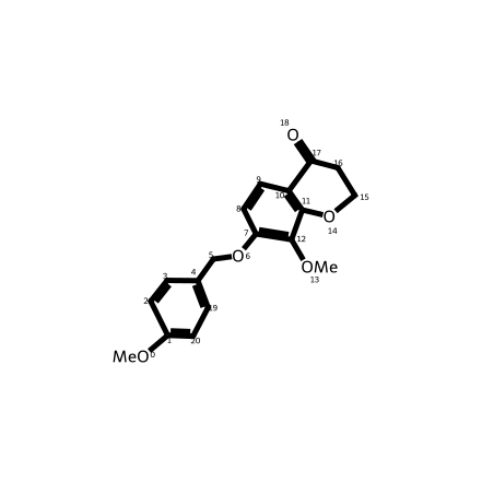 COc1ccc(COc2ccc3c(c2OC)OCCC3=O)cc1